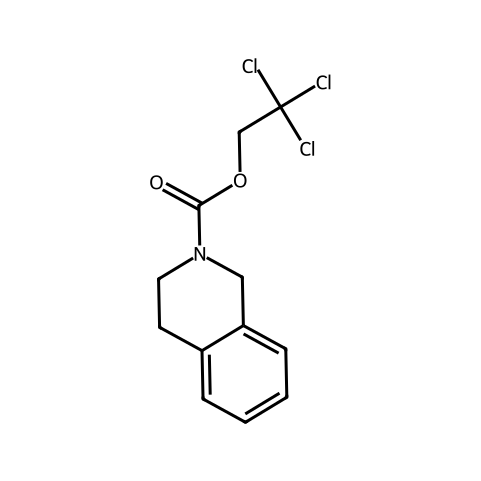 O=C(OCC(Cl)(Cl)Cl)N1CCc2ccccc2C1